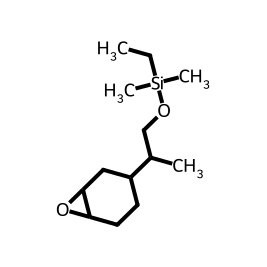 CC[Si](C)(C)OCC(C)C1CCC2OC2C1